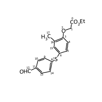 CCOC(=O)COc1ccc(Sc2ccc(C=O)cc2)cc1C